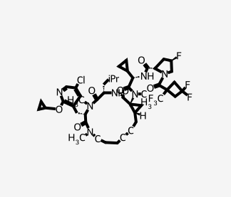 CC(C)C[C@@H]1NC(=O)[C@]2(N(C)C(=O)[C@@H](NC(=O)[C@@H]3C[C@@H](F)CN3C(=O)C3(C(F)(F)F)CC(F)(F)C3)C3CC3)C[C@@H]2CCCCCCN(C)C(=O)[C@H](Cc2cc(Cl)cnc2OC2CC2)N(C)C1=O